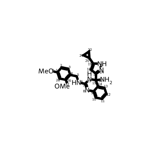 COc1ccc(CNC2=Nc3ccccc3C(N)(c3cc(C4CC4)[nH]n3)N2)c(OC)c1